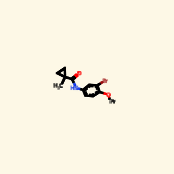 CC(C)Oc1ccc(NC(=O)C2(C)CC2)cc1Br